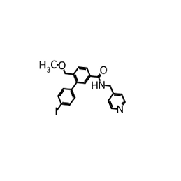 COCc1ccc(C(=O)NCc2ccncc2)cc1-c1ccc(I)cc1